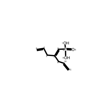 C=CCC(=CP(=O)(O)O)CC=C